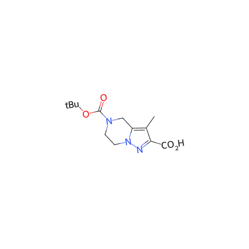 Cc1c(C(=O)O)nn2c1CN(C(=O)OC(C)(C)C)CC2